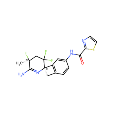 C[C@]1(F)CC(F)(F)[C@]2(Cc3ccc(NC(=O)c4nccs4)cc32)N=C1N